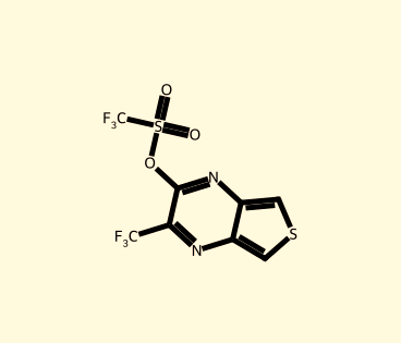 O=S(=O)(Oc1nc2cscc2nc1C(F)(F)F)C(F)(F)F